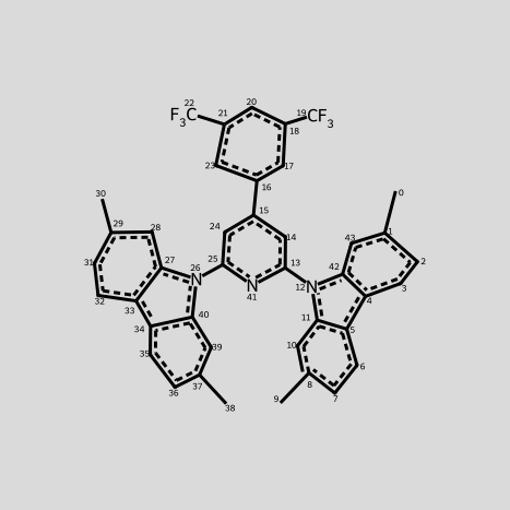 Cc1ccc2c3ccc(C)cc3n(-c3cc(-c4cc(C(F)(F)F)cc(C(F)(F)F)c4)cc(-n4c5cc(C)ccc5c5ccc(C)cc54)n3)c2c1